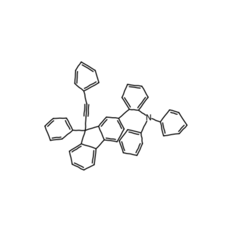 C(#CC1(c2ccccc2)c2ccccc2-c2ccc(-c3ccccc3N(c3ccccc3)c3ccccc3)cc21)c1ccccc1